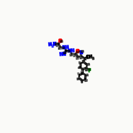 CC(c1ccc(-c2ccccc2)c(F)c1)c1cc(CNC(=N)NCC(N)=O)on1